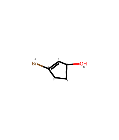 OC1C=C(Br)CC1